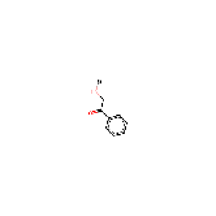 CCBCC(=O)c1ccccc1